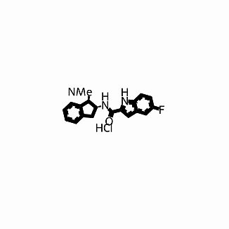 CN[C@@H]1c2ccccc2C[C@H]1NC(=O)c1cc2cc(F)ccc2[nH]1.Cl